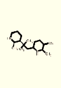 CC1NC(CC(C)(C)[C@@H]2CCCN[C@@H]2C)CCC1C(C)(C)C